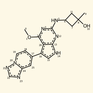 COc1nc(NC2CC(C)(O)C2)nc2[nH]cc(-c3ccn4ncnc4c3)c12